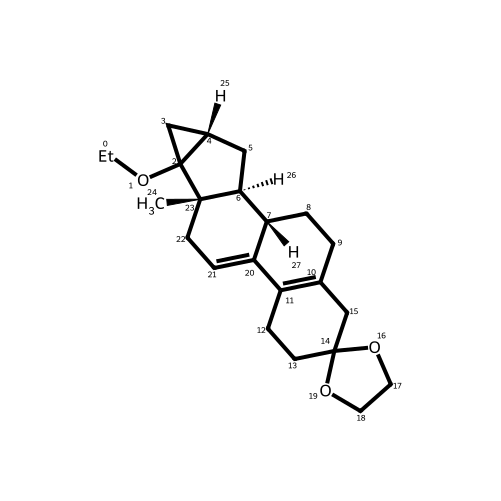 CCOC12C[C@@H]1C[C@H]1[C@@H]3CCC4=C(CCC5(C4)OCCO5)C3=CC[C@@]12C